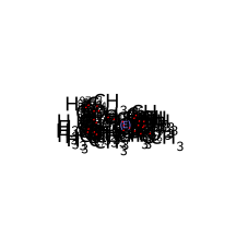 C=C1C(C)CC(CCC2OC(CCC(=O)/C=C/C(O[Si](C)(C)C(C)(C)C)[C@@H]3O[C@H]4CCC(CC(=O)OC)OC4C(O[Si](C)(C)C(C)(C)C)C3O[Si](C)(C)C(C)(C)C)CC2(C)C)OC1C[C@@H]1O[C@H](CC(CO[Si](C)(C)C(C)(C)C)O[Si](C)(C)C(C)(C)C)[C@H](OC)C1CS(=O)(=O)c1ccccc1